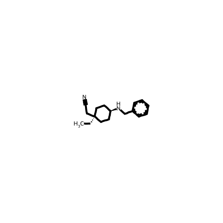 CC[C@]1(CC#N)CC[C@@H](NCc2ccccc2)CC1